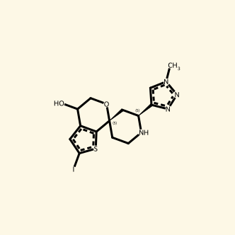 Cn1cc([C@@H]2C[C@]3(CCN2)OCC(O)c2cc(I)sc23)nn1